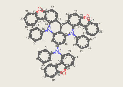 c1ccc(N(c2cc3c4c(c2)N(c2ccccc2)c2c(ccc5oc6ccccc6c25)B4c2ccc4oc5ccccc5c4c2N3c2ccccc2)c2cccc3oc4ccccc4c23)cc1